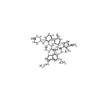 CCc1nc2c(cnn2CC)c(NC2CCOCC2)c1CN(Cc1ccc(F)c(-c2cccc(CC3CCNCC3)c2)c1)C(=O)C1(C(N)=O)CC1